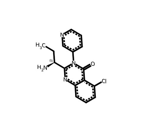 CC[C@H](N)c1nc2cccc(Cl)c2c(=O)n1-c1cccnc1